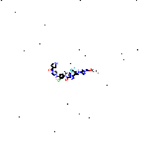 COCCn1cc(-n2cc(-c3cnc(C(=O)Nc4ccc(C(=O)N5CCN(C(=O)C6CCNCC6)CC5)c(Cl)c4)n3C)c(C(F)(F)F)n2)cn1